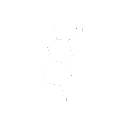 CC(=CC1CCC(S)CC1)C(N)=O